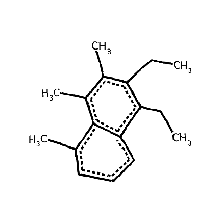 CCc1c(C)c(C)c2c(C)cccc2c1CC